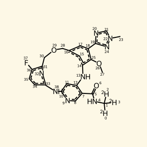 [2H]C([2H])([2H])NC(=O)c1cnc2cc1Nc1cc(cc(-c3ncn(C)n3)c1OC)COCc1nc(ccc1F)N2